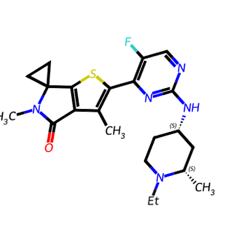 CCN1CC[C@H](Nc2ncc(F)c(-c3sc4c(c3C)C(=O)N(C)C43CC3)n2)C[C@@H]1C